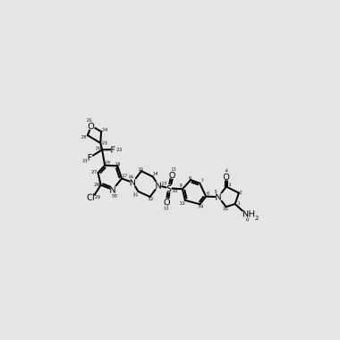 NC1CC(=O)N(c2ccc(S(=O)(=O)N3CCN(c4cc(C(F)(F)C5COC5)cc(Cl)n4)CC3)cc2)C1